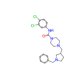 O=C(Nc1ccc(Cl)c(Cl)c1)N1CCN(CC2CCN(Cc3ccccc3)C2)CC1